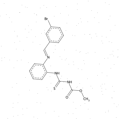 COC(=O)NC(=S)Nc1ccccc1N=Cc1cccc(Br)c1